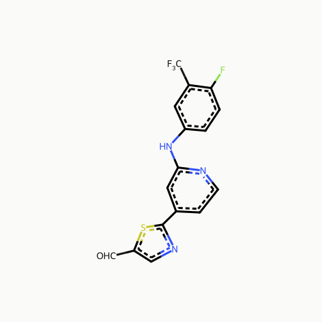 O=Cc1cnc(-c2ccnc(Nc3ccc(F)c(C(F)(F)F)c3)c2)s1